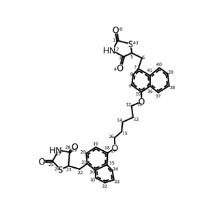 O=C1NC(=O)C(Cc2ccc(OCCCCCOc3ccc(CC4SC(=O)NC4=O)c4ccccc34)c3ccccc23)S1